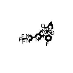 O=C(NCc1cc(-c2cnc(C(F)(F)F)nc2)ncc1F)C1C2CC2CN1S(=O)(=O)c1ccc(F)cc1